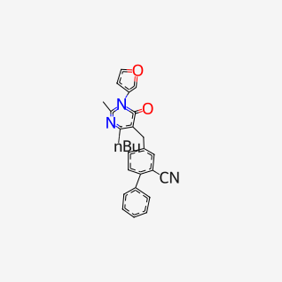 CCCCc1nc(C)n(-c2ccoc2)c(=O)c1Cc1ccc(-c2ccccc2)c(C#N)c1